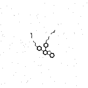 c1ccc2c(c1)Cc1c-2ccc(-c2ccc(CCCOCC3CO3)cc2)c1-c1ccc(CCCOCC2CO2)cc1